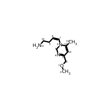 COCC1=NCN(/C=C\CCN)C(C)=C1